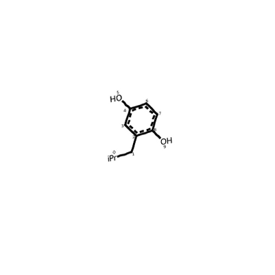 CC(C)Cc1cc(O)ccc1O